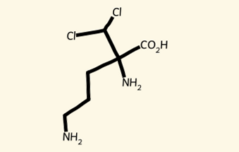 NCCCC(N)(C(=O)O)C(Cl)Cl